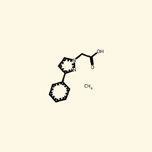 C.O=C(O)Cn1ccc(-c2ccccc2)n1